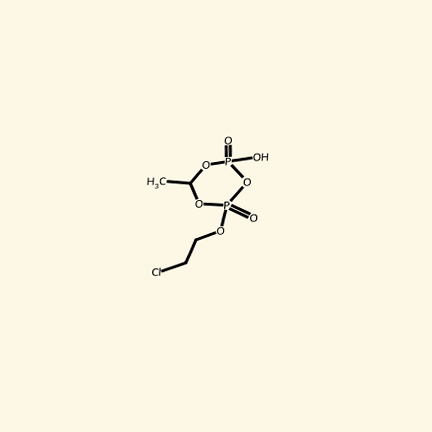 CC1OP(=O)(O)OP(=O)(OCCCl)O1